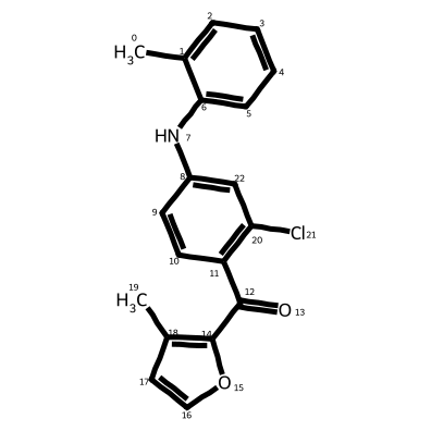 Cc1ccccc1Nc1ccc(C(=O)c2occc2C)c(Cl)c1